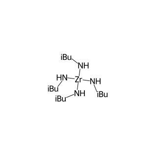 CCC(C)[NH][Zr]([NH]C(C)CC)([NH]C(C)CC)[NH]C(C)CC